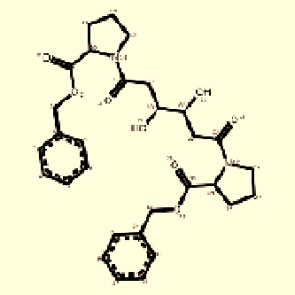 O=C(OCc1ccccc1)C1CCCN1C(=O)C[C@H](O)[C@@H](O)CC(=O)N1CCCC1C(=O)OCc1ccccc1